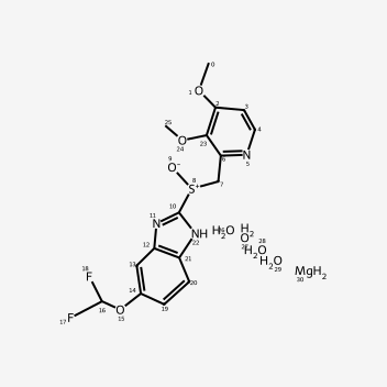 COc1ccnc(C[S+]([O-])c2nc3cc(OC(F)F)ccc3[nH]2)c1OC.O.O.O.O.[MgH2]